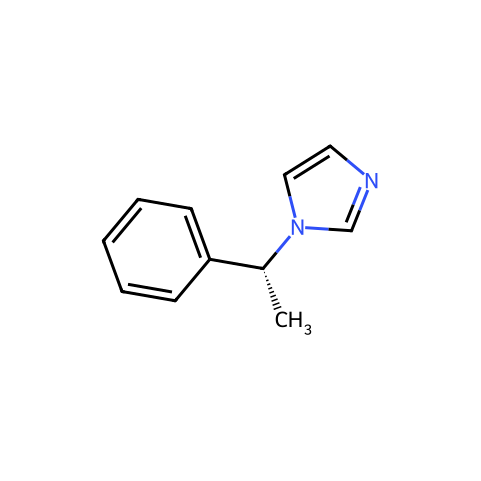 C[C@H](c1ccccc1)n1ccnc1